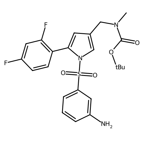 CN(Cc1cc(-c2ccc(F)cc2F)n(S(=O)(=O)c2cccc(N)c2)c1)C(=O)OC(C)(C)C